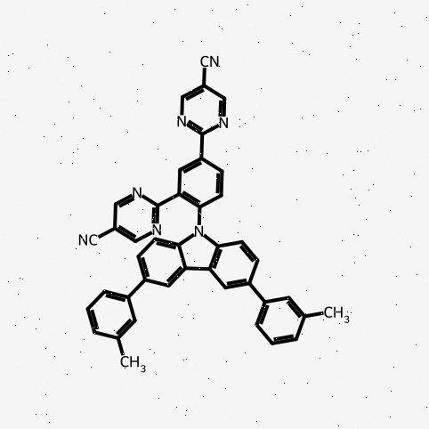 Cc1cccc(-c2ccc3c(c2)c2cc(-c4cccc(C)c4)ccc2n3-c2ccc(-c3ncc(C#N)cn3)cc2-c2ncc(C#N)cn2)c1